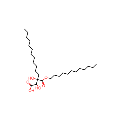 CCCCCCCCCCCCOC(=O)C(O)(CCCCCCCCCCCC)C(O)C(=O)O